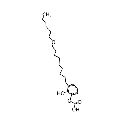 CCCCCCOCCCCCCCCCc1cccc(OC(=O)O)c1O